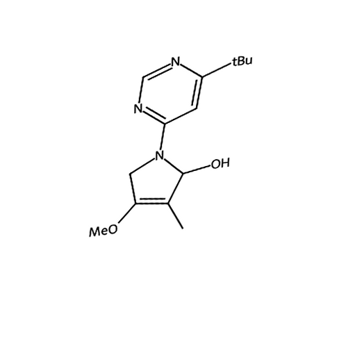 COC1=C(C)C(O)N(c2cc(C(C)(C)C)ncn2)C1